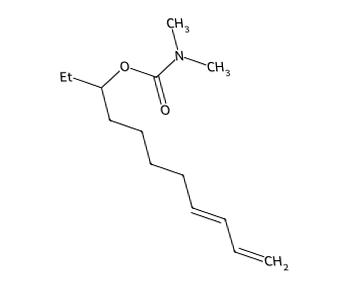 C=CC=CCCCCC(CC)OC(=O)N(C)C